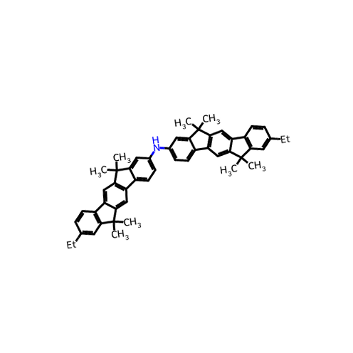 CCc1ccc2c(c1)C(C)(C)c1cc3c(cc1-2)C(C)(C)c1cc(Nc2ccc4c(c2)C(C)(C)c2cc5c(cc2-4)C(C)(C)c2cc(CC)ccc2-5)ccc1-3